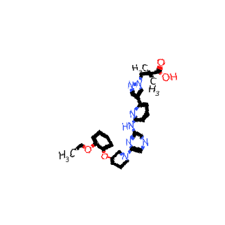 CCOc1ccccc1O[C@@H]1CCCN(c2cncc(Nc3cccc(-c4cnn(CC(C)(C)C(=O)O)c4)n3)n2)C1